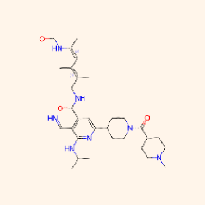 C/C(=C/C(C)=C(\C)CNC(=O)c1cc(C2CCN(C(=O)C3CCN(C)CC3)CC2)nc(NC(C)C)c1C=N)NC=O